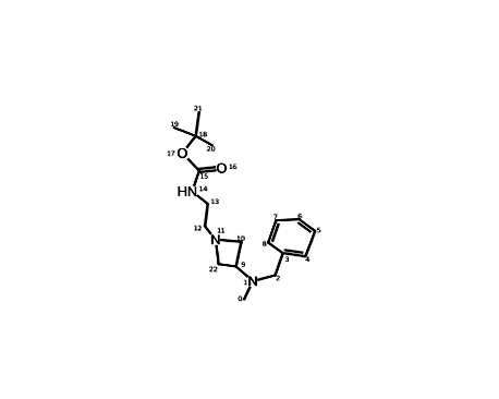 CN(Cc1ccccc1)C1CN(CCNC(=O)OC(C)(C)C)C1